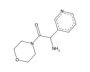 NC(C(=O)N1CCOCC1)c1cccnc1